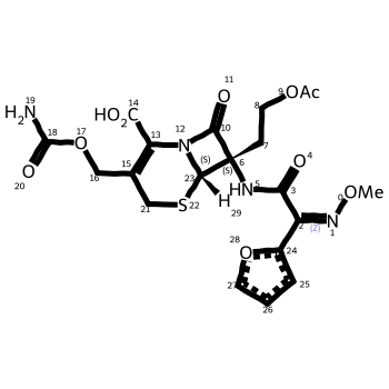 CO/N=C(\C(=O)N[C@@]1(CCOC(C)=O)C(=O)N2C(C(=O)O)=C(COC(N)=O)CS[C@H]21)c1ccco1